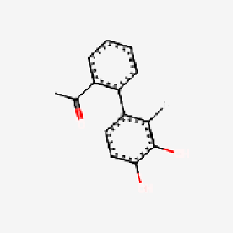 CCC(=O)c1ccccc1-c1ccc(O)c(O)c1[N+](=O)[O-]